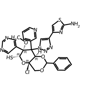 CO[C@@]1(c2cncnc2)[C@@H](S)O[C@@]2(Cl)COC(c3ccccc3)O[C@@H]2C1(c1cccnc1)n1cc(-c2csc(N)n2)nn1